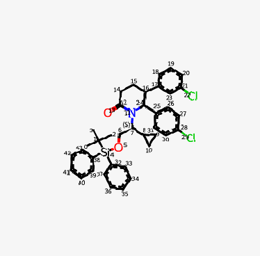 CC(C)(C)[Si](OC[C@H](C1CC1)N1C(=O)CCC(c2cccc(Cl)c2)C1c1ccc(Cl)cc1)(c1ccccc1)c1ccccc1